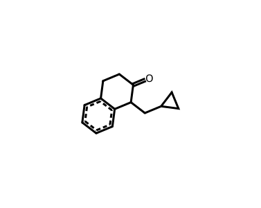 O=C1CCc2ccccc2C1CC1CC1